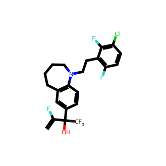 C=C(F)C(O)(c1ccc2c(c1)CCCCN2CCc1c(F)ccc(Cl)c1F)C(F)(F)F